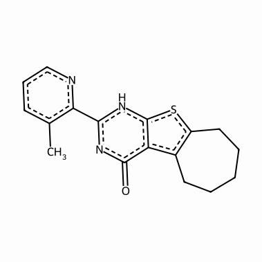 Cc1cccnc1-c1nc(=O)c2c3c(sc2[nH]1)CCCCC3